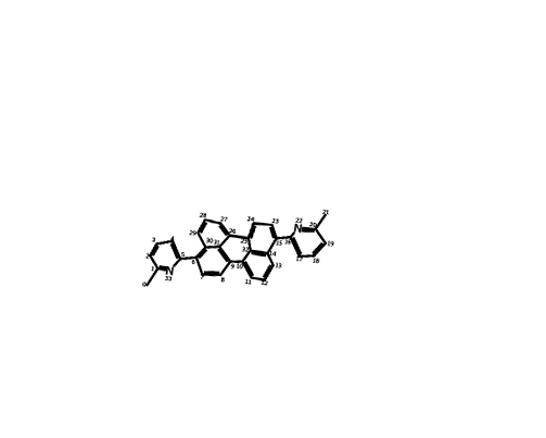 Cc1cccc(-c2ccc3c4cccc5c(-c6cccc(C)n6)ccc(c6cccc2c63)c54)n1